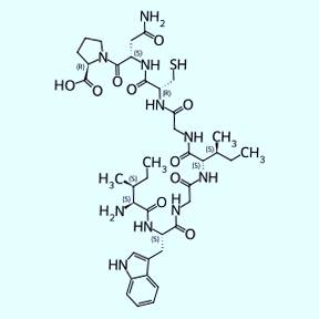 CC[C@H](C)[C@H](N)C(=O)N[C@@H](Cc1c[nH]c2ccccc12)C(=O)NCC(=O)N[C@H](C(=O)NCC(=O)N[C@@H](CS)C(=O)N[C@@H](CC(N)=O)C(=O)N1CCC[C@@H]1C(=O)O)[C@@H](C)CC